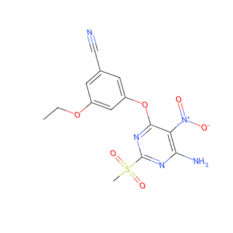 CCOc1cc(C#N)cc(Oc2nc(S(C)(=O)=O)nc(N)c2[N+](=O)[O-])c1